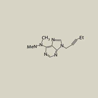 CCC#CCn1cnc2c(N(C)NC)ncnc21